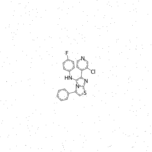 Fc1ccc(Nc2c(-c3ccncc3Cl)nc3scc(-c4ccccc4)n23)cc1